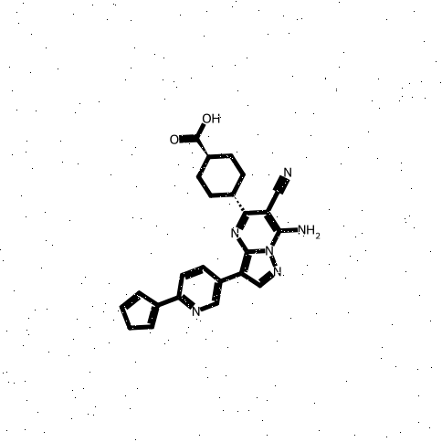 N#Cc1c(N)n2ncc(-c3ccc(C4=CCC=C4)nc3)c2nc1[C@H]1CC[C@H](C(=O)O)CC1